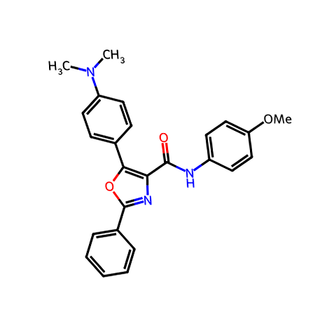 COc1ccc(NC(=O)c2nc(-c3ccccc3)oc2-c2ccc(N(C)C)cc2)cc1